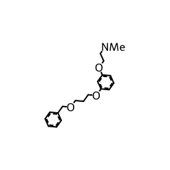 CNCCOc1cccc(OCCCOCc2ccccc2)c1